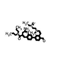 CCCN(CCC)C(=O)C1=Cc2ccc(-c3ccc(C=O)c(/C=C\N(C)CC[S+]([O-])CC)c3)cc2N=C(N)C1